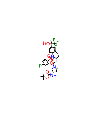 CC(C)(C)OC(=O)N[C@H]1CCN(C(=O)C[C@@H]2CCc3cc(C(C)(O)C(F)(F)F)ccc3N2S(=O)(=O)c2ccc(F)cc2)C1